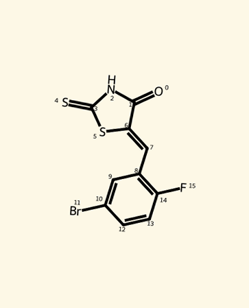 O=C1NC(=S)S/C1=C\c1cc(Br)ccc1F